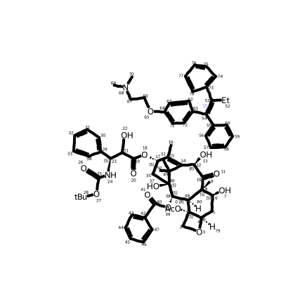 CC(=O)O[C@@]12CO[C@@H]1C[C@H](O)[C@@]1(C)C(=O)[C@H](O)C3=C(C)[C@@H](OC(=O)C(O)[C@@H](NC(=O)OC(C)(C)C)c4ccccc4)C[C@@](O)([C@@H](OC(=O)c4ccccc4)[C@H]21)C3(C)C.CC/C(=C(\c1ccccc1)c1ccc(OCCN(C)C)cc1)c1ccccc1